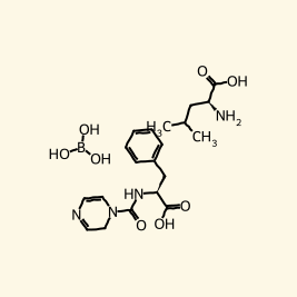 CC(C)C[C@H](N)C(=O)O.O=C(O)[C@H](Cc1ccccc1)NC(=O)N1C=CN=CC1.OB(O)O